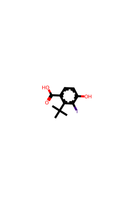 CC(C)(C)c1c(C(=O)O)ccc(O)c1I